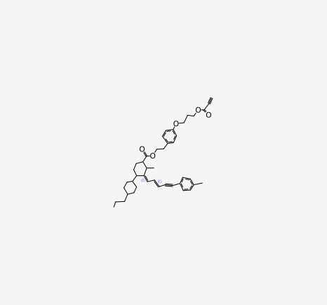 C#CC(=O)OCCCOc1ccc(CCOC(=O)C2CCC(C3CCC(CCC)CC3)/C(=C/C=C/C#Cc3ccc(C)cc3)C2C)cc1